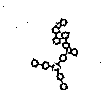 c1ccc(-c2ccc(-c3nc(-c4ccc(-c5ccccc5)cc4)nc(-c4ccc(-n5c6ccccc6c6cc(-c7ccccc7-c7ccccc7-c7ccc8sc9ccccc9c8c7)ccc65)cc4)n3)cc2)cc1